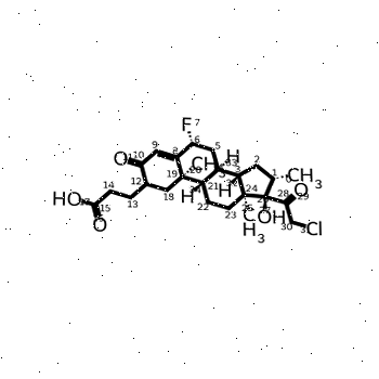 C[C@H]1C[C@H]2[C@@H]3C[C@@H](F)C4=CC(=O)C(CCC(=O)O)C[C@]4(C)[C@H]3CC[C@]2(C)[C@@]1(O)C(=O)CCl